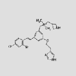 C[N+](C)(Cc1cc(/C=C/c2ccc(Cl)cc2Br)cc(OCCc2c[nH]cn2)c1)CC1CNC1